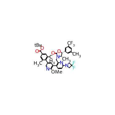 COc1ncc(-c2c(C)cc(C(=O)OC(C)(C)C)cc2C)cc1-c1ccc(N2CC(F)(F)C2)nc1CN1C(=O)O[C@H](c2cc(C)cc(C(F)(F)F)c2)[C@@H]1C